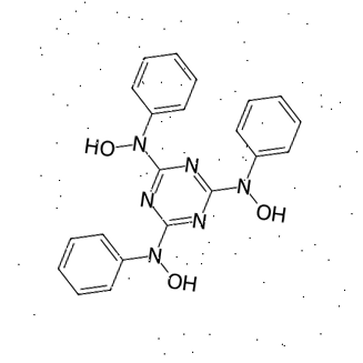 ON(c1ccccc1)c1nc(N(O)c2ccccc2)nc(N(O)c2ccccc2)n1